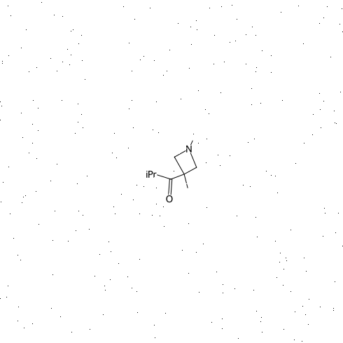 CC(C)C(=O)C1(C)CN(C)C1